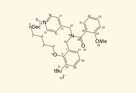 CCCCCCCCCCCCCCOc1c(CN(Cc2cc[n+](C)cc2)C(=O)c2ccccc2OC)cccc1C(C)(C)C.[I-]